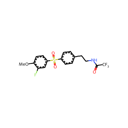 COc1ccc(S(=O)(=O)c2ccc(CCNC(=O)C(F)(F)F)cc2)cc1F